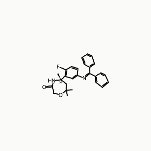 CC1(C)C[C@@](C)(c2cc(N=C(c3ccccc3)c3ccccc3)ccc2F)NC(=O)CO1